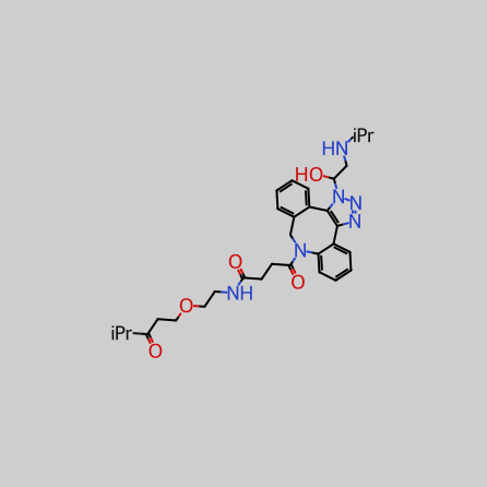 CC(C)NCC(O)n1nnc2c1-c1ccccc1CN(C(=O)CCC(=O)NCCOCCC(=O)C(C)C)c1ccccc1-2